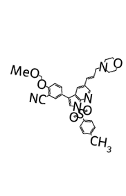 COCOc1ccc(-c2cn(S(=O)(=O)c3ccc(C)cc3)c3ncc(/C=C/CN4CCOCC4)cc23)cc1C#N